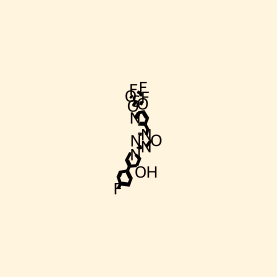 O=c1nc(N2CC=C(c3ccc(F)cc3)C(O)C2)ncn1Cc1ccc(OS(=O)(=O)C(F)(F)F)nc1